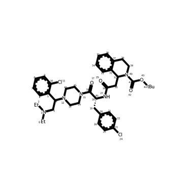 CCN(CC)CC(c1ccccc1Cl)N1CCN(C(=O)[C@@H](Cc2ccc(Cl)cc2)NC(=O)CC2c3ccccc3CCN2C(=O)OC(C)(C)C)CC1